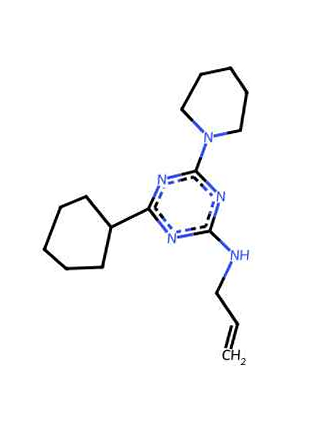 C=CCNc1nc(C2CCCCC2)nc(N2CCCCC2)n1